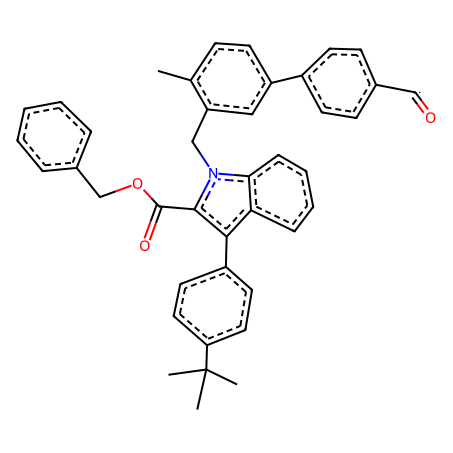 Cc1ccc(-c2ccc([C]=O)cc2)cc1Cn1c(C(=O)OCc2ccccc2)c(-c2ccc(C(C)(C)C)cc2)c2ccccc21